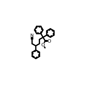 COC(=O)C(CCC(CC#N)c1ccccc1)(c1ccccc1)c1ccccc1